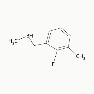 CBCc1cccc(C)c1F